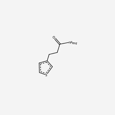 CCCCCC(=O)CCc1ccsc1